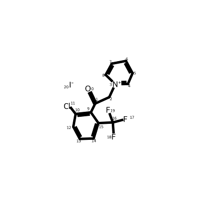 O=C(C[n+]1ccccc1)c1c(Cl)cccc1C(F)(F)F.[I-]